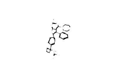 CSc1nc(N2CCOCC2)c2c(-c3ccccc3)c(-c3ccc(C4(NC(=O)O)CCC4)cc3)oc2n1